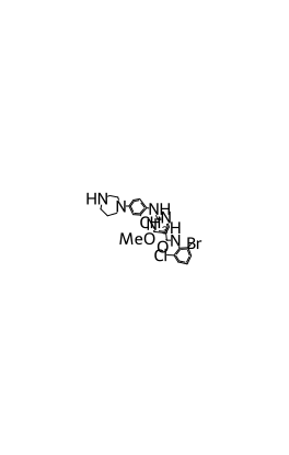 COc1nc(Nc2ccc(N3CCCNCC3)cc2C)ncc1C(=O)Nc1c(Cl)cccc1Br